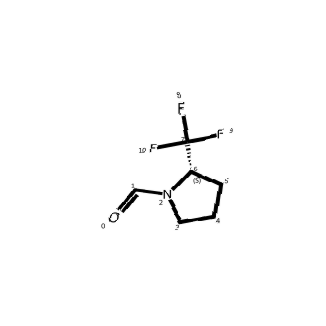 O=CN1CCC[C@H]1C(F)(F)F